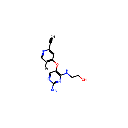 C#Cc1cc(Oc2cnc(N)nc2NCCO)c(C(C)C)cn1